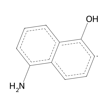 Nc1cccc2c(O)[c]ccc12